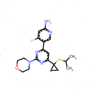 CC(C)SC1(c2cc(-c3cnc(N)cc3F)nc(N3CCOCC3)n2)CC1